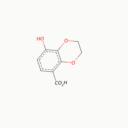 O=C(O)c1ccc(O)c2c1OCCO2